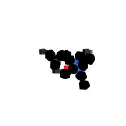 CC(C)(C)c1ccc(Nc2cc3c(cc2-c2c4c(cc5c2oc2ccccc25)N(c2ccc(-c5ccccc5)cc2)c2ccc(-c5ccccc5)cc2B4)-c2cc(N(c4ccc(C(C)(C)C)cc4)c4ccc(C(C)(C)C)cc4)ccc2C3(C)C)cc1